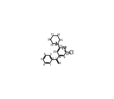 C=C(c1ccccc1)c1cc(Cl)nc(N2CCCCC2)c1